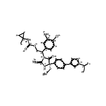 CC(C)(C)C[C@]1(c2ccc(-c3cnn(C(F)F)c3)cc2)NC(=N)N(C(COC(=O)NC2(C)CC2)c2ccc(Cl)c(N)c2)C1=O